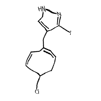 ClC1C=CC(c2c[nH]nc2I)=CC1